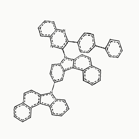 c1ccc(-c2ccc(-c3nc4ccccc4nc3-n3c4ccc(-n5c6ccccc6c6c7ccccc7ccc65)cc4c4c5ccccc5ccc43)cc2)cc1